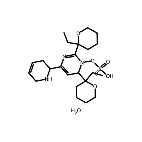 CCC1(C2=NC(C3CC=CCN3)=CC(C3(CC)CCCCO3)N2OS(=O)(=O)O)CCCCO1.O